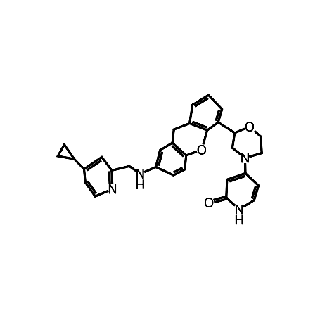 O=c1cc(N2CCOC(c3cccc4c3Oc3ccc(NCc5cc(C6CC6)ccn5)cc3C4)C2)cc[nH]1